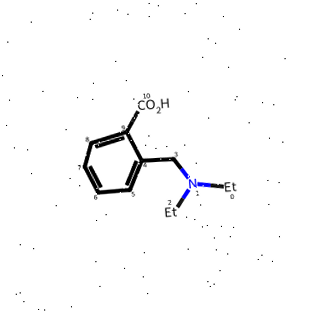 CCN(CC)Cc1ccccc1C(=O)O